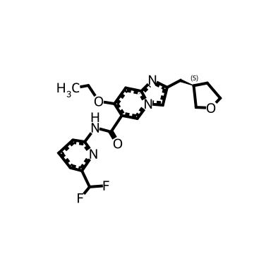 CCOc1cc2nc(C[C@H]3CCOC3)cn2cc1C(=O)Nc1cccc(C(F)F)n1